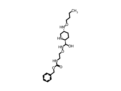 CCCCON[C@@H]1CC[C@@H](C(O)NOCCNC(=O)OCc2ccccc2)NC1